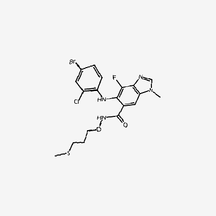 CSCCCONC(=O)c1cc2c(ncn2C)c(F)c1Nc1ccc(Br)cc1Cl